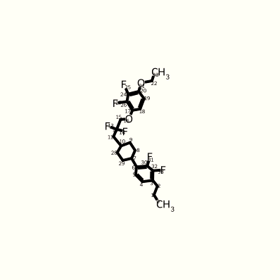 CCCc1ccc(C2CCC(CC(F)(F)COc3ccc(OCC)c(F)c3F)CC2)c(F)c1F